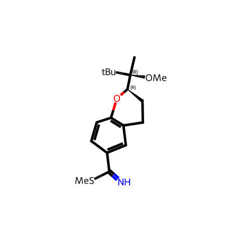 CO[C@@](C)([C@H]1CCc2cc(C(=N)SC)ccc2O1)C(C)(C)C